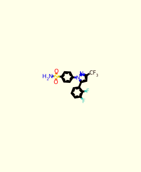 NS(=O)(=O)c1ccc(-n2nc(C(F)(F)F)cc2-c2cccc(F)c2F)cc1